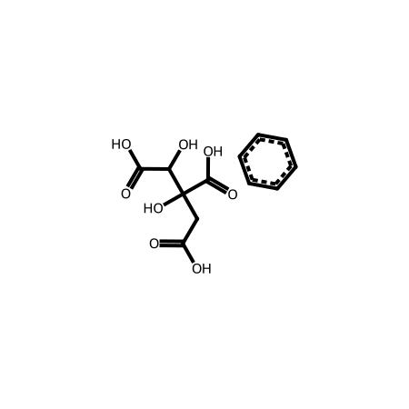 O=C(O)CC(O)(C(=O)O)C(O)C(=O)O.c1ccccc1